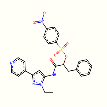 CCn1nc(-c2ccncc2)cc1NC(=O)C(Cc1ccccc1)OS(=O)(=O)c1ccc([N+](=O)[O-])cc1